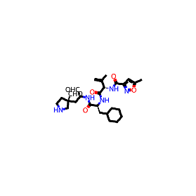 C=C(C)[C@H](NC(=O)c1cc(C)on1)C(=O)N[C@@H](CC1CCCCC1)C(=O)N[C@H](C=O)C[C@@]1(C=O)CCNC1